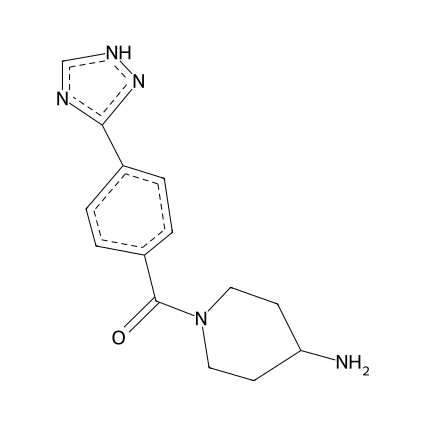 NC1CCN(C(=O)c2ccc(-c3nc[nH]n3)cc2)CC1